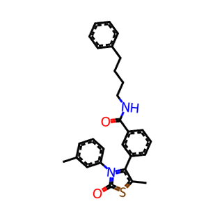 Cc1cccc(-n2c(-c3cccc(C(=O)NCCCCc4ccccc4)c3)c(C)sc2=O)c1